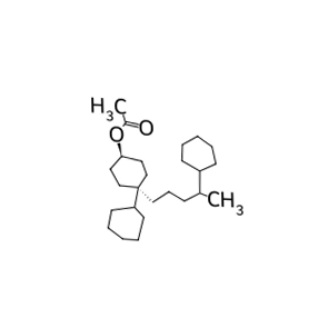 CC(=O)O[C@H]1CC[C@@](CCCC(C)C2CCCCC2)(C2CCCCC2)CC1